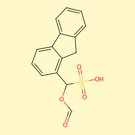 O=[C]OC(c1cccc2c1Cc1ccccc1-2)S(=O)(=O)O